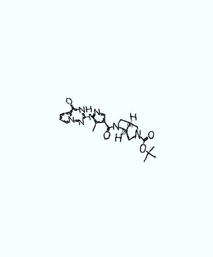 Cc1c(C(=O)N2C[C@H]3CN(C(=O)OC(C)(C)C)C[C@H]32)cnn1-c1nn2cccc2c(=O)[nH]1